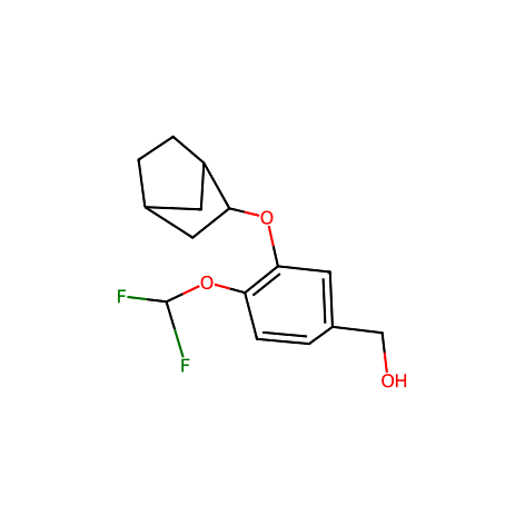 OCc1ccc(OC(F)F)c(OC2CC3CCC2C3)c1